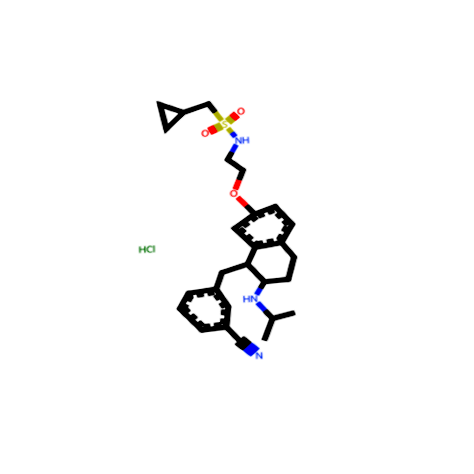 CC(C)NC1CCc2ccc(OCCNS(=O)(=O)CC3CC3)cc2C1Cc1cccc(C#N)c1.Cl